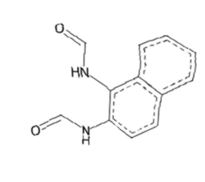 O=CNc1ccc2ccccc2c1NC=O